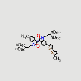 CCCCCCCCCCC(CCCCCCCCCC)CCCN1C(=O)/C(=C2/C(=O)N(CCCC(CCCCCCCCCC)CCCCCCCCCC)c3cc(-c4ccc(-c5ccc(C)s5)s4)ccc32)c2ccc(C)cc21